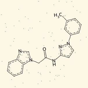 Cc1cccc(-n2ccc(NC(=O)Cn3cnc4ccccc43)n2)c1